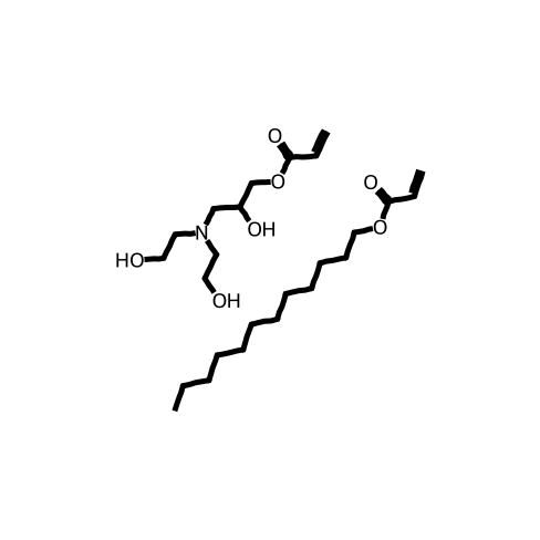 C=CC(=O)OCC(O)CN(CCO)CCO.C=CC(=O)OCCCCCCCCCCCC